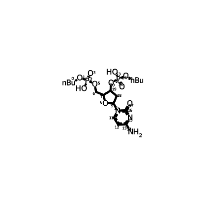 CCCCOP(=O)(O)OCC1OC(n2ccc(N)nc2=O)CC1OP(=O)(O)OCCCC